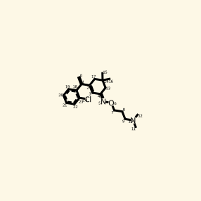 C=C(C1=C/C(=N/OCCCN(C)C)CC(C)(C)C1)c1ccccc1Cl